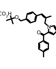 CC(=Cc1ccc(COC(C)(C)C(=O)O)cc1)Cn1cccc1C(=O)c1ccc(C)cc1